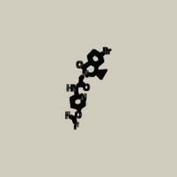 O=C(CN1CC2(CC2)c2cc(Br)ccc2C1=O)Nc1ccc(OC(F)F)cn1